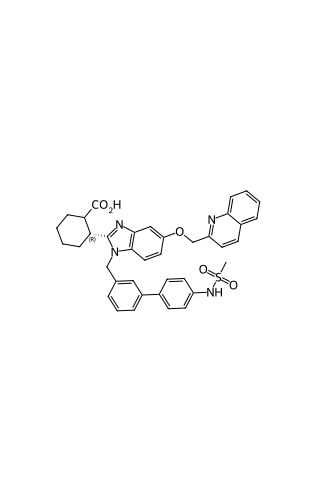 CS(=O)(=O)Nc1ccc(-c2cccc(Cn3c([C@@H]4CCCCC4C(=O)O)nc4cc(OCc5ccc6ccccc6n5)ccc43)c2)cc1